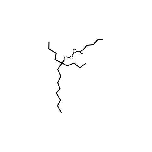 CCCCCCCCC(CCCC)(CCCC)OOOOCCCC